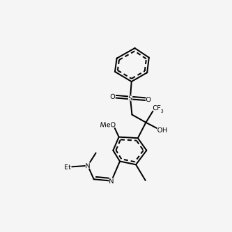 CCN(C)/C=N\c1cc(OC)c(C(O)(CS(=O)(=O)c2ccccc2)C(F)(F)F)cc1C